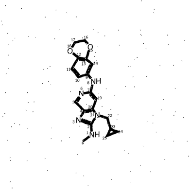 CNc1nc2cnc(Nc3ccc4c(c3)OCCO4)cc2n1CC1CC1